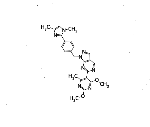 COc1nc(C)c(-c2ncc3cnn(Cc4ccc(-c5nc(C)cn5C)cc4)c3n2)c(OC)n1